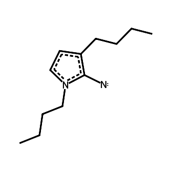 CCCCc1ccn(CCCC)c1[N]